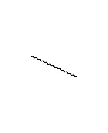 CCCCCC[CH]CC=CCCCCCCCCCCCCCCCCCC